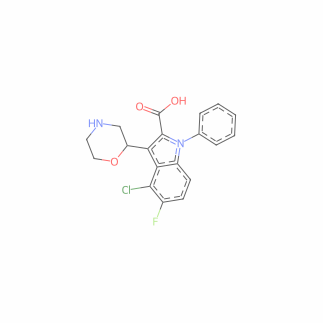 O=C(O)c1c(C2CNCCO2)c2c(Cl)c(F)ccc2n1-c1ccccc1